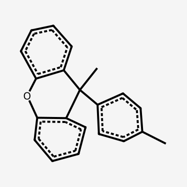 Cc1ccc(C2(C)c3ccccc3Oc3ccccc32)cc1